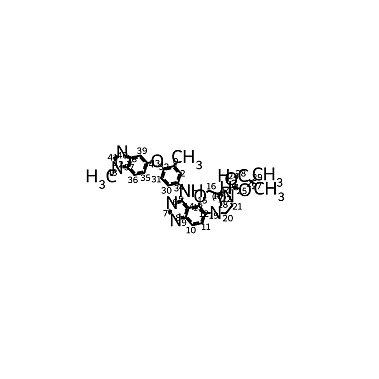 Cc1cc(Nc2ncnc3ccc4c(c23)OC[C@H]2CN4CCN2C(=O)OC(C)(C)C)ccc1Oc1ccc2c(c1)ncn2C